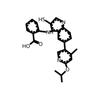 Cc1cc(OC(C)C)ncc1-c1ccc2ncc(S)c(Nc3ccccc3C(=O)O)c2c1